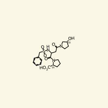 O=C(O)[C@@H]1CCCN1C(=O)C(CC(=O)N1CC[C@H](O)C1)NS(=O)(=O)Cc1ccccc1